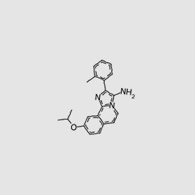 Cc1ccccc1-c1nc2c3cc(OC(C)C)ccc3ccn2c1N